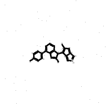 CC1=Cc2c(cccc2-c2ccc(C)cc2)[C]1C1=C(C)C=C2C=NC=C21